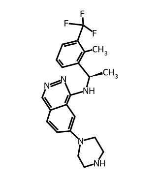 Cc1c([C@@H](C)Nc2nncc3ccc(N4CCNCC4)cc23)cccc1C(F)(F)F